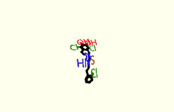 Oc1c(O)c(Cl)c2c(c1Cl)CCN(C(=S)NCCc1ccccc1Cl)C2